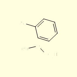 CC(=O)c1ccccc1.CCC(C)OC(=O)O